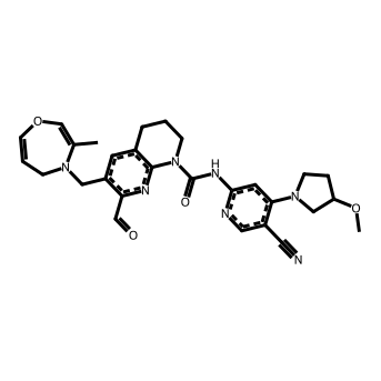 COC1CCN(c2cc(NC(=O)N3CCCc4cc(CN5CC=COC=C5C)c(C=O)nc43)ncc2C#N)C1